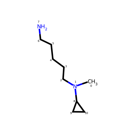 CN(CCCCCN)C1CC1